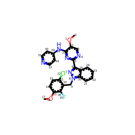 COc1cnc(-c2nn(Cc3c(Cl)ccc(OC)c3F)c3ccccc23)nc1Nc1ccncc1